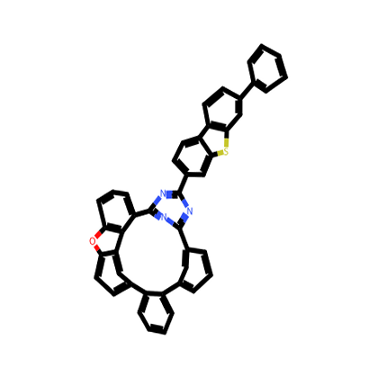 c1ccc(-c2ccc3c(c2)sc2cc(-c4nc5nc(n4)c4cccc6oc7ccc(cc7c64)c4ccccc4c4cccc5c4)ccc23)cc1